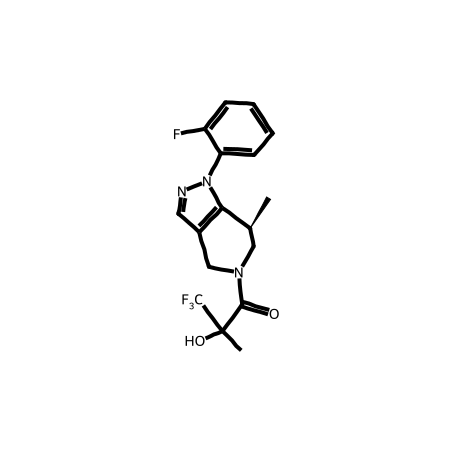 C[C@H]1CN(C(=O)C(C)(O)C(F)(F)F)Cc2cnn(-c3ccccc3F)c21